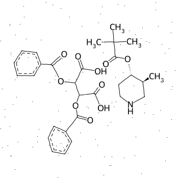 C[C@H]1CNCC[C@@H]1OC(=O)C(C)(C)C.O=C(OC(C(=O)O)C(OC(=O)c1ccccc1)C(=O)O)c1ccccc1